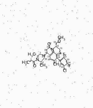 C=CC(=O)N1[C@H](C)CN(C2CC(=O)N3c4c2cc(C)c(-c2cc(Cl)c(F)cc2F)c4SC[C@@H]3COC)C[C@@H]1C